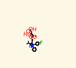 COP(=O)(C#Cc1c(C(C)C)nn(-c2ccccc2)c1-c1ccc(F)cc1)C[C@@H](O)CC(=O)O